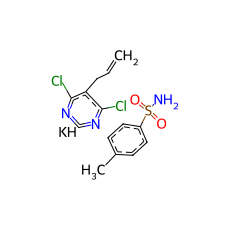 C=CCc1c(Cl)ncnc1Cl.Cc1ccc(S(N)(=O)=O)cc1.[KH]